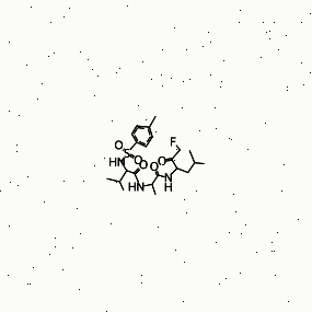 Cc1ccc(S(=O)(=O)NC(C(=O)NC(C)C(=O)NC(CC(C)C)C(=O)CF)C(C)C)cc1